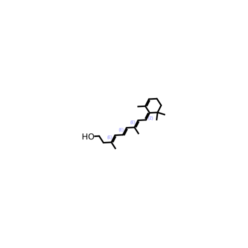 CC1=CCCC(C)(C)/C1=C/C=C(C)/C=C/C=C(\C)CCO